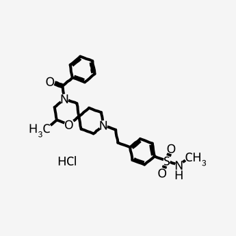 CNS(=O)(=O)c1ccc(CCN2CCC3(CC2)CN(C(=O)c2ccccc2)CC(C)O3)cc1.Cl